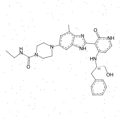 CCNC(=O)N1CCN(c2cc(C)c3nc(-c4c(N[C@H](CO)Cc5ccccc5)cc[nH]c4=O)[nH]c3c2)CC1